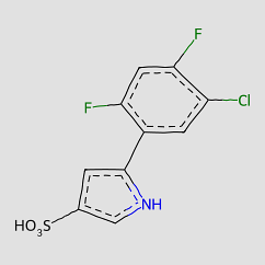 O=S(=O)(O)c1c[nH]c(-c2cc(Cl)c(F)cc2F)c1